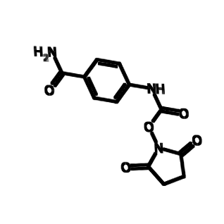 NC(=O)c1ccc(NC(=O)ON2C(=O)CCC2=O)cc1